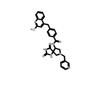 Cc1cc(Cc2ccc(C(=O)NC3CN(Cc4cccnc4)CC34NC(=O)NC4=O)cc2)c2ccccc2n1